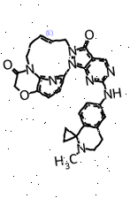 CN1CCc2cc(Nc3ncc4c(=O)n5n(c4n3)-c3ccc4c(n3)N(CC/C=C/C5)C(=O)CO4)ccc2C12CC2